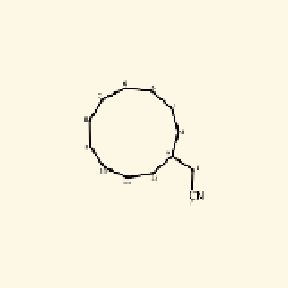 N#CCC1CCCCCCCCCC1